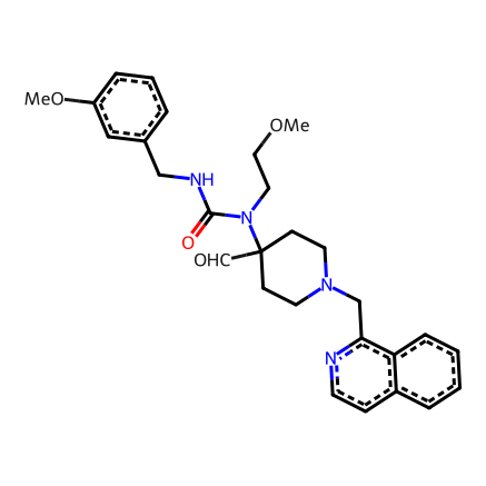 COCCN(C(=O)NCc1cccc(OC)c1)C1(C=O)CCN(Cc2nccc3ccccc23)CC1